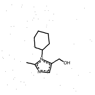 Cc1ncc(CO)n1C1CCCCC1